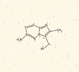 Cc1nc2ccc(N)nn2c1CC(C)C